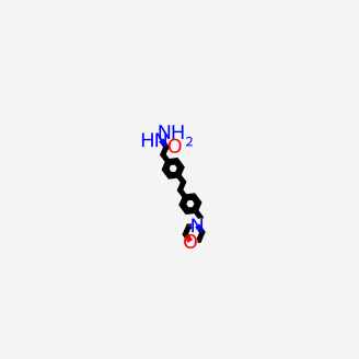 NNC(=O)Cc1ccc(CCc2ccc(CN3CCOCC3)cc2)cc1